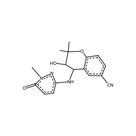 Cn1nc(NC2c3cc(C#N)ccc3OC(C)(C)C2O)ccc1=O